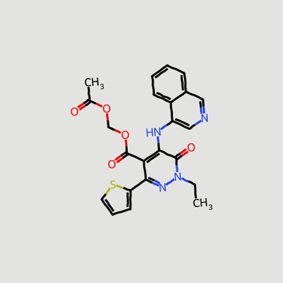 CCn1nc(-c2cccs2)c(C(=O)OCOC(C)=O)c(Nc2cncc3ccccc23)c1=O